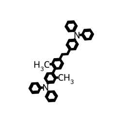 Cc1cc(CCc2ccc(N(c3ccccc3)c3ccccc3)cc2)ccc1-c1ccc(N(c2ccccc2)c2ccccc2)cc1C